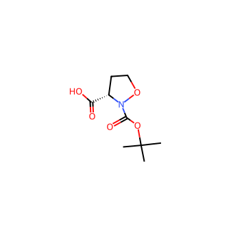 CC(C)(C)OC(=O)N1OCC[C@H]1C(=O)O